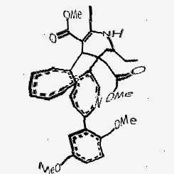 COC(=O)C1=C(C)NC(C)C(C(=O)OC)(c2nc(-c3cc(OC)ccc3OC)cs2)C1c1ccccc1